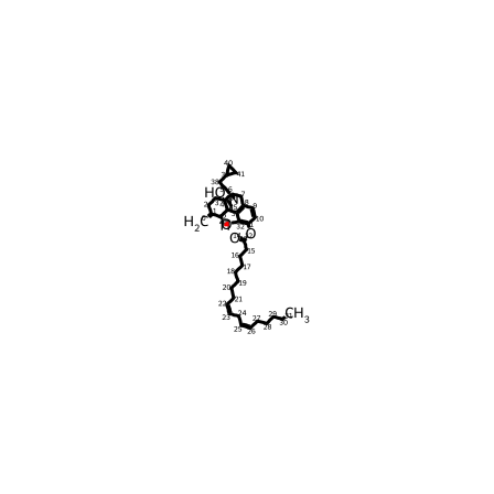 C=C1CC[C@@]2(O)C3Cc4ccc(OC(=O)CCCCCCC/C=C\C/C=C\CCCCC)c5c4[C@@]2(CCN3CC2CC2)[C@H]1O5